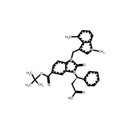 Cc1cccc2c1c(Cn1c(=O)n([C@H](CC(=O)O)c3ccccc3)c3cc(C(=O)OC(C)(C)C)ccc31)cn2C